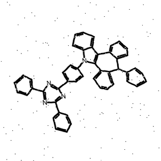 c1ccc(-c2nc(-c3ccccc3)nc(-c3ccc(-n4c5c(c6ccccc64)-c4ccccc4C(c4ccccc4)c4ccccc4-5)cc3)n2)cc1